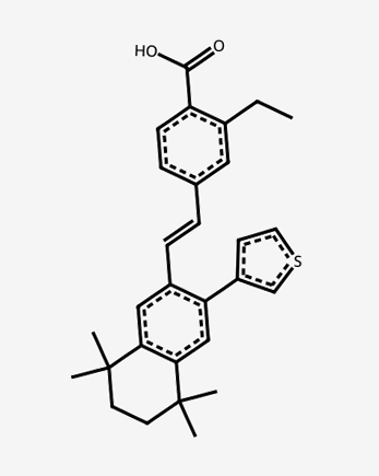 CCc1cc(C=Cc2cc3c(cc2-c2ccsc2)C(C)(C)CCC3(C)C)ccc1C(=O)O